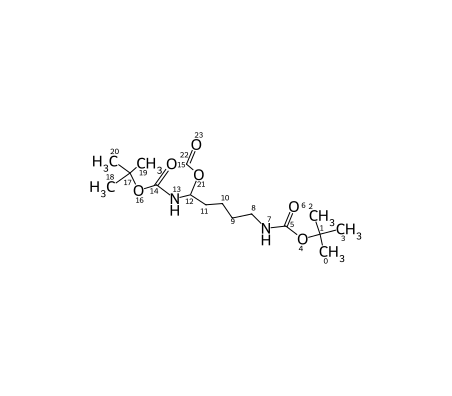 CC(C)(C)OC(=O)NCCCCC(NC(=O)OC(C)(C)C)OC=O